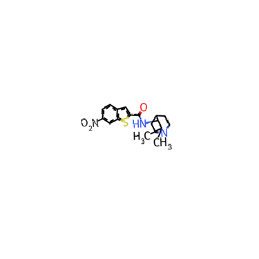 CC1(C)C(NC(=O)c2cc3ccc([N+](=O)[O-])cc3s2)C2CCN1CC2